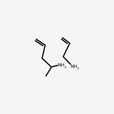 C=CCC(C)N.C=CCN